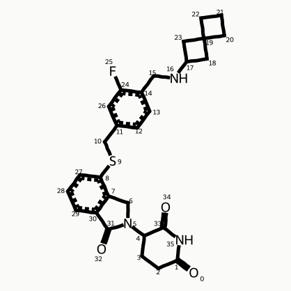 O=C1CCC(N2Cc3c(SCc4ccc(CNC5CC6(CCC6)C5)c(F)c4)cccc3C2=O)C(=O)N1